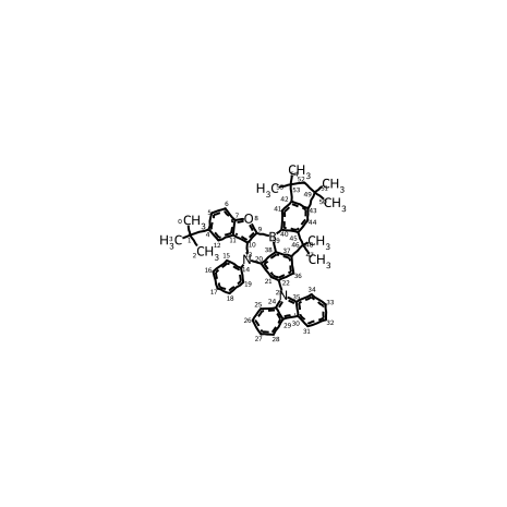 CC(C)(C)c1ccc2oc3c(c2c1)N(c1ccccc1)c1cc(-n2c4ccccc4c4ccccc42)cc2c1B3c1cc3c(cc1C2(C)C)C(C)(C)CC3(C)C